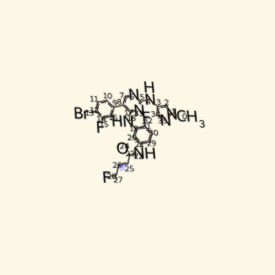 Cn1cc(Nc2ncc(-c3ccc(Br)c(F)c3)c(Nc3cc(NC(=O)/C=C/CF)ccc3F)n2)cn1